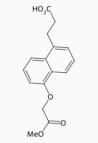 COC(=O)COc1cccc2c(CCC(=O)O)cccc12